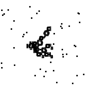 Cc1cc(-c2c(C(F)(F)F)nn(C)c2-c2ccc(OCc3ccc(Cl)cc3)cc2O)cc(C(F)(F)F)c1